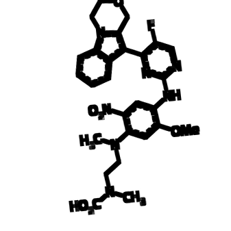 COc1cc(N(C)CCN(C)C(=O)O)c([N+](=O)[O-])cc1Nc1ncc(F)c(-c2c3n(c4ccccc24)CCOC3)n1